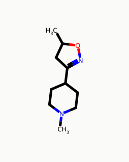 CC1CC(C2CCN(C)CC2)=NO1